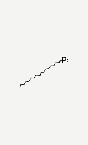 CCCCCCCCCCCCCCCCC=C[P]